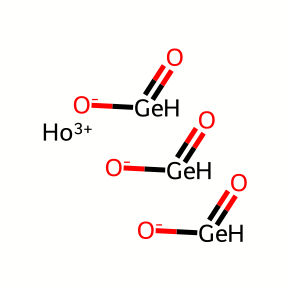 [Ho+3].[O]=[GeH][O-].[O]=[GeH][O-].[O]=[GeH][O-]